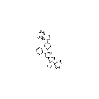 CC(C)(C)OC(=O)NC1(c2ccc(-c3nc4nc(C(C)(C)O)nn4cc3-c3ccccc3)cc2)CCC1